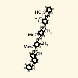 COc1cc(N=Nc2ccc(N=Nc3ccccc3S(=O)(=O)O)c(C)c2)c(C)cc1N=Nc1cc(OC)c(N=Nc2ccc3cc(Nc4ccccc4)ccc3c2O)cc1C